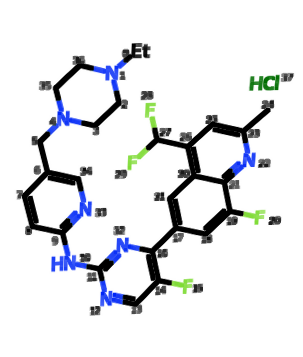 CCN1CCN(Cc2ccc(Nc3ncc(F)c(-c4cc(F)c5nc(C)cc(C(F)F)c5c4)n3)nc2)CC1.Cl